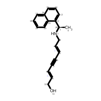 C[C@@H](NC/C=C/C#C/C=C/CO)c1cccc2ccccc12